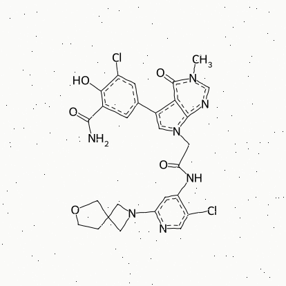 Cn1cnc2c(c(-c3cc(Cl)c(O)c(C(N)=O)c3)cn2CC(=O)Nc2cc(N3CC4(CCOC4)C3)ncc2Cl)c1=O